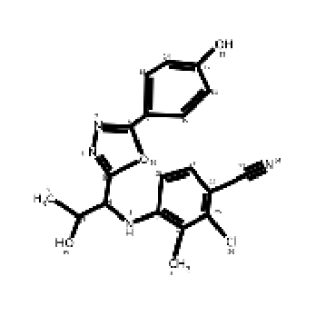 Cc1c(NC(c2nnc(-c3ccc(O)cc3)o2)C(C)O)ccc(C#N)c1Cl